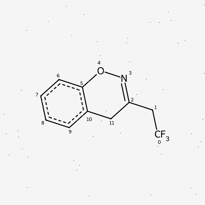 FC(F)(F)CC1=NOc2ccccc2C1